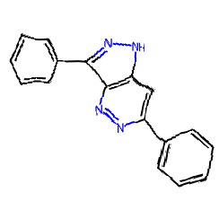 c1ccc(-c2cc3[nH]nc(-c4ccccc4)c3nn2)cc1